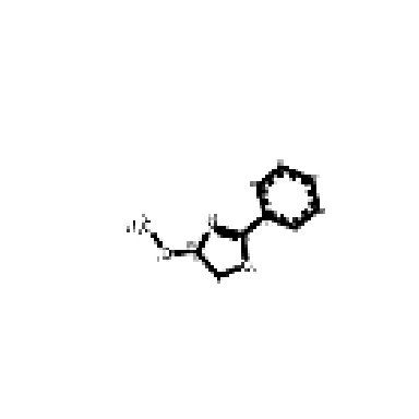 CO[C@@H]1COC(c2ccccc2)=N1